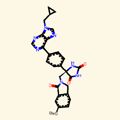 COc1ccc2c(c1)C(=O)N(C[C@@]1(c3ccc(-c4ncnc5c4ncn5CC4CC4)cc3)NC(=O)NC1=O)C2